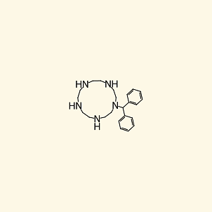 c1ccc(C(c2ccccc2)N2CCNCCNCCNCCNCC2)cc1